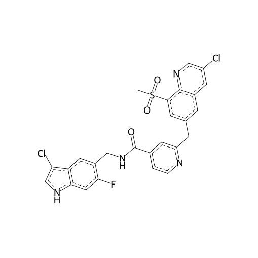 CS(=O)(=O)c1cc(Cc2cc(C(=O)NCc3cc4c(Cl)c[nH]c4cc3F)ccn2)cc2cc(Cl)cnc12